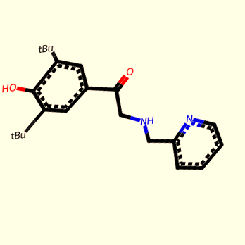 CC(C)(C)c1cc(C(=O)CNCc2ccccn2)cc(C(C)(C)C)c1O